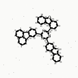 c1cc2c3c(cccc3c1)-c1cc(-c3nc(-c4ccc5c(c4)sc4ccccc45)nc(-c4cccc5oc6ccccc6c45)n3)ccc1-2